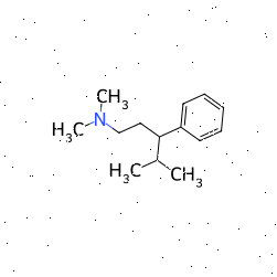 CC(C)C(CCN(C)C)c1ccccc1